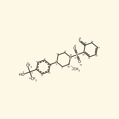 C[C@@H]1CN(c2ccc(C(O)(C(F)(F)F)C(F)(F)F)cc2)CCN1S(=O)(=O)C1=CC=CCC1=S